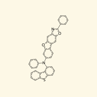 c1ccc(-c2nc3cc4oc5cc(N(c6ccccc6)c6cccc7sc8ccccc8c67)ccc5c4cc3o2)cc1